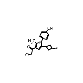 Cc1c(C(=O)CCl)cc(C2CC(F)C2)n1-c1ccc(C#N)cc1